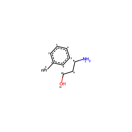 CCCc1ccccc1.NCCCO